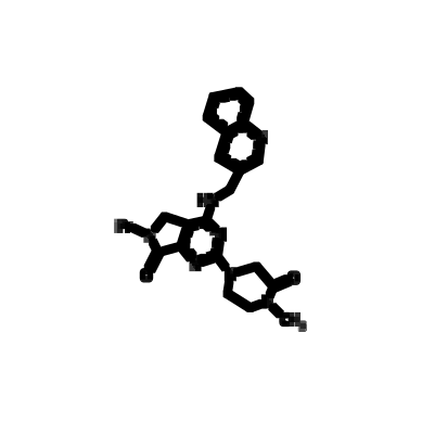 CC(C)N1Cc2c(NCc3cnc4ccccc4c3)nc(N3CCN(C)C(=O)C3)nc2C1=O